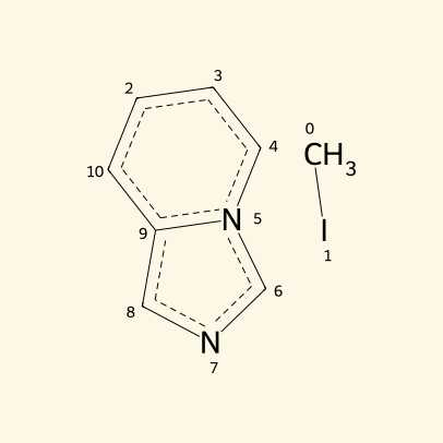 CI.c1ccn2cncc2c1